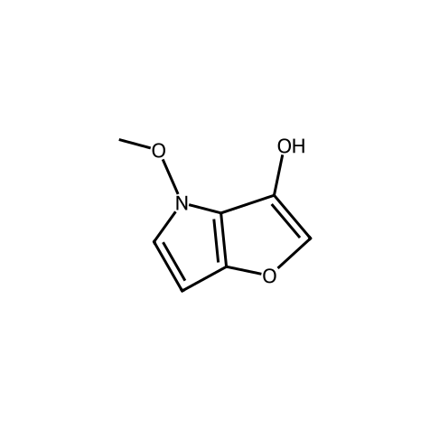 COn1ccc2occ(O)c21